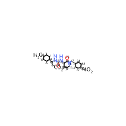 Cc1ccc([C@H](CC(=O)O)NC(=O)Nc2cccn(Cc3ccc([N+](=O)[O-])cc3)c2=O)cc1